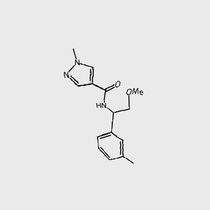 COCC(NC(=O)c1cnn(C)c1)c1cccc(C)c1